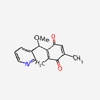 COC(C1=C(C)C(=O)C(C)=CC1=O)c1cccnc1